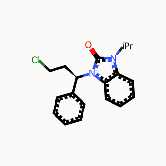 CC(C)n1c(=O)n([C@H](CCCl)c2ccccc2)c2ccccc21